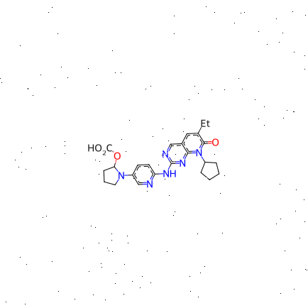 CCc1cc2cnc(Nc3ccc(N4CCCC4OC(=O)O)cn3)nc2n(C2CCCC2)c1=O